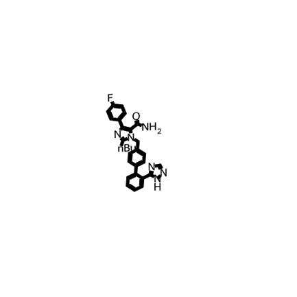 CCCCc1nc(-c2ccc(F)cc2)c(C(N)=O)n1Cc1ccc(-c2ccccc2-c2ncn[nH]2)cc1